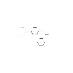 O=C(O)C(Nc1ccc(N2CCOCC2)c(F)c1)c1ccccc1